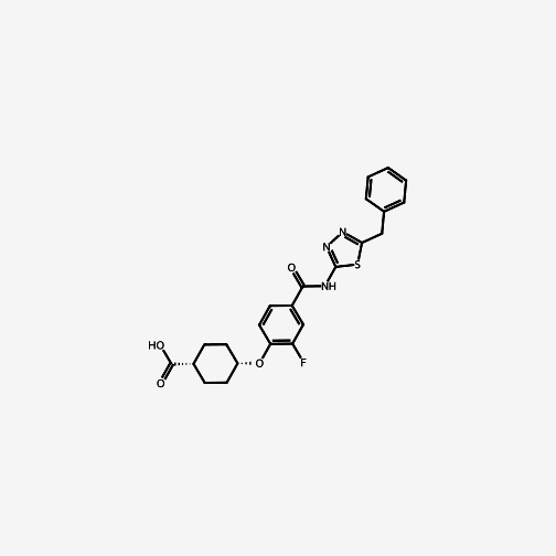 O=C(Nc1nnc(Cc2ccccc2)s1)c1ccc(O[C@H]2CC[C@@H](C(=O)O)CC2)c(F)c1